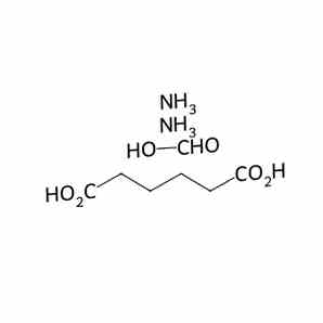 N.N.O=C(O)CCCCC(=O)O.O=CO